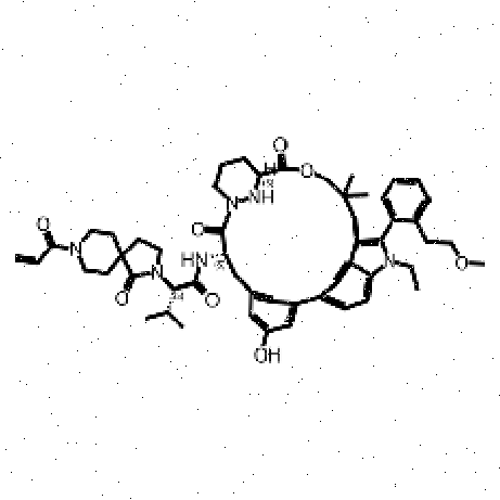 C=CC(=O)N1CCC2(CC1)CCN([C@H](C(=O)N[C@H]1Cc3cc(O)cc(c3)-c3ccc4c(c3)c(c(-c3ccccc3CCOC)n4CC)CC(C)(C)COC(=O)[C@@H]3CCCN(N3)C1=O)C(C)C)C2=O